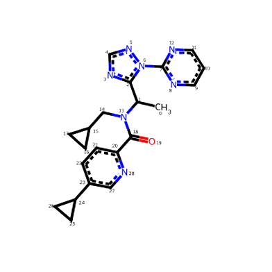 CC(c1ncnn1-c1ncccn1)N(CC1CC1)C(=O)c1ccc(C2CC2)cn1